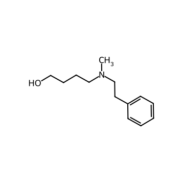 CN(CCCCO)CCc1ccccc1